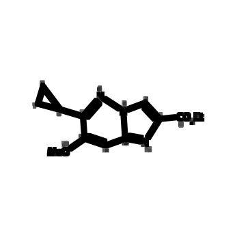 CCOC(=O)c1cn2nc(C3CC3)c(OC)cc2n1